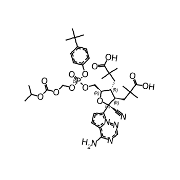 CC(C)OC(=O)OCO[P@@](=O)(OC[C@@H]1O[C@@](C#N)(c2ccc3c(N)ncnn23)[C@H](CC(C)(C)C(=O)O)[C@H]1CC(C)(C)C(=O)O)Oc1ccc(C(C)(C)C)cc1